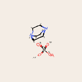 C1CN2CCN1CC2.[O]=[Re](=[O])(=[O])[OH]